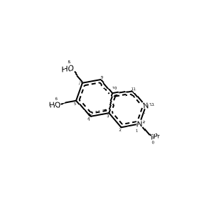 CC(C)[n+]1cc2cc(O)c(O)cc2cn1